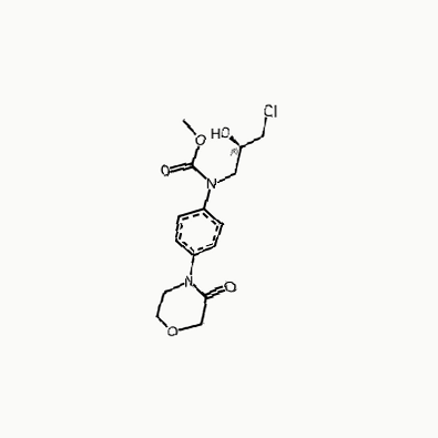 COC(=O)N(C[C@@H](O)CCl)c1ccc(N2CCOCC2=O)cc1